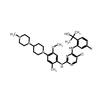 COc1cc(Nc2ncc(Cl)c(Nc3cc(F)ccc3C(C)(C)O)n2)c(C)cc1N1CCC(N2CCN(C)CC2)CC1